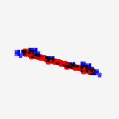 NC(=O)OCCCC[C@H](OC(N)=O)C(=O)NCCCOCCOCCOCCCNC(=O)CCOCCOCCOCCOCCOCCC(=O)NCCCOCCOCCOCCCNC(=O)[C@H](CCCCOC(N)=O)OC(N)=O